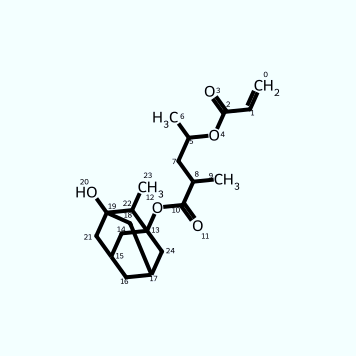 C=CC(=O)OC(C)CC(C)C(=O)OC12CC3CC(CC(O)(C3)C1C)C2